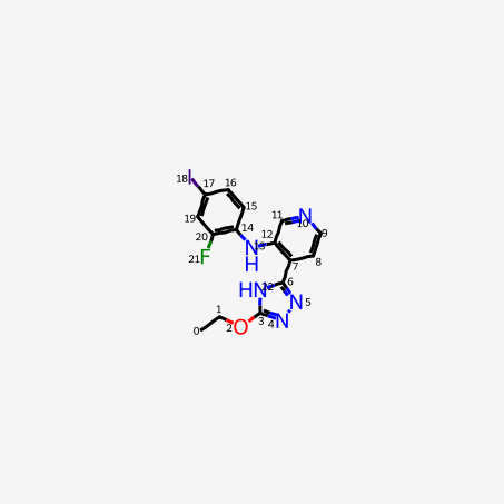 CCOc1nnc(-c2ccncc2Nc2ccc(I)cc2F)[nH]1